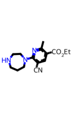 CCOC(=O)c1cc(C#N)c(N2CCCNCC2)nc1C